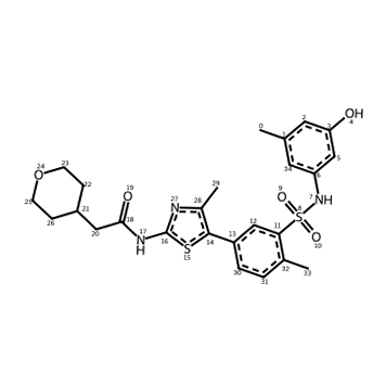 Cc1cc(O)cc(NS(=O)(=O)c2cc(-c3sc(NC(=O)CC4CCOCC4)nc3C)ccc2C)c1